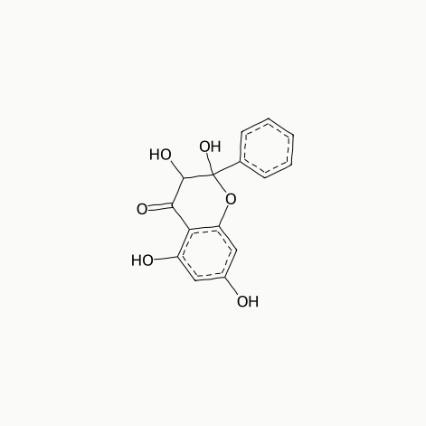 O=C1c2c(O)cc(O)cc2OC(O)(c2ccccc2)C1O